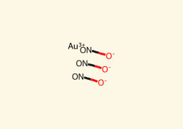 O=N[O-].O=N[O-].O=N[O-].[Au+3]